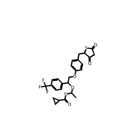 CC(OC(=O)C1CC1)OC(COc1ccc(CC2SC(=O)CC2=O)cc1)c1ccc(C(F)(F)F)cc1